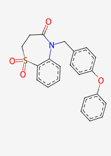 O=C1CCS(=O)(=O)c2ccccc2N1Cc1ccc(Oc2ccccc2)cc1